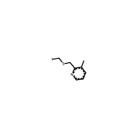 Cc1cccnc1CSCI